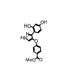 COC(=O)c1ccc(Oc2c[nH]nc2-c2ccc(O)cc2O)cc1